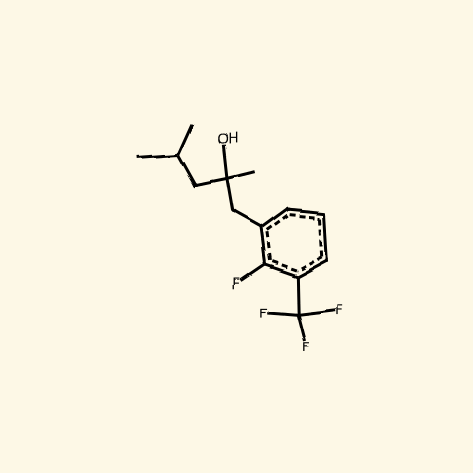 CC(C)CC(C)(O)Cc1cccc(C(F)(F)F)c1F